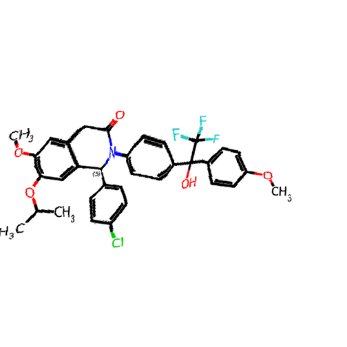 COc1ccc(C(O)(c2ccc(N3C(=O)Cc4cc(OC)c(OC(C)C)cc4[C@@H]3c3ccc(Cl)cc3)cc2)C(F)(F)F)cc1